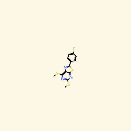 CSc1nc(SC)c2nc(-c3ccc(F)cc3)sc2n1